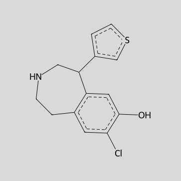 Oc1cc2c(cc1Cl)CCNCC2c1ccsc1